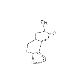 N#CC1CC2CCc3ccccc3C2=CC1=O